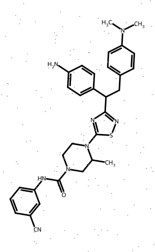 CC1CN(C(=O)Nc2cccc(C#N)c2)CCN1c1nc(C(Cc2ccc(N(C)C)cc2)c2ccc(N)cc2)ns1